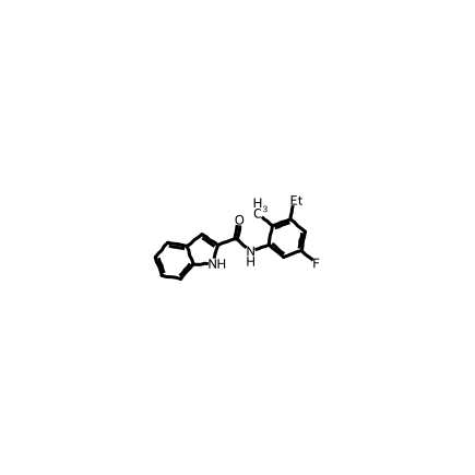 CCc1cc(F)cc(NC(=O)c2cc3ccccc3[nH]2)c1C